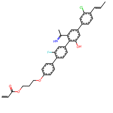 C=CC(=O)OCCCOc1ccc(-c2ccc(-c3c(O)cc(-c4ccc(/C=C/C)c(Cl)c4)cc3C(C)=N)cc2F)cc1